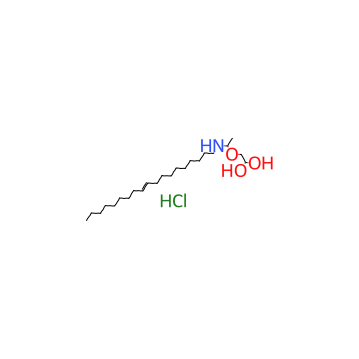 CCCCCCCCC=CCCCCCCCCCNC(C)OCC(O)O.Cl